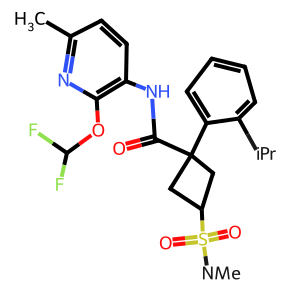 CNS(=O)(=O)C1CC(C(=O)Nc2ccc(C)nc2OC(F)F)(c2ccccc2C(C)C)C1